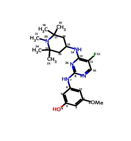 COc1cc(O)cc(Nc2ncc(F)c(NC3CC(C)(C)N(C)C(C)(C)C3)n2)c1